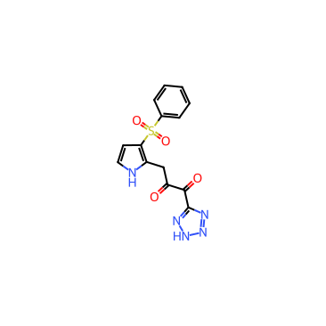 O=C(Cc1[nH]ccc1S(=O)(=O)c1ccccc1)C(=O)c1nn[nH]n1